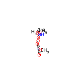 COc1cc(C=O)ccc1/C=C/c1ccc(OCCOCCOCCNC(=O)OC(C)(C)C)cc1